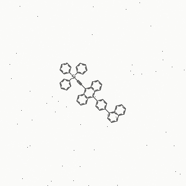 C(#C[Si](c1ccccc1)(c1ccccc1)c1ccccc1)c1c2ccccc2c(-c2ccc(-c3cccc4ccccc34)cc2)c2ccccc12